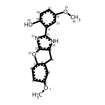 COc1ccc2c(c1)Cc1[nH]c(-c3cc(OC)ccc3O)nc1O2